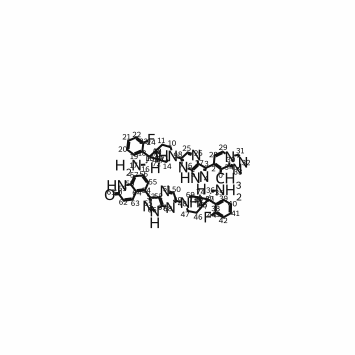 Cc1c(-c2n[nH]c3nc(N4CC[C@@H]5[C@H](C4)[C@@]5(CN)c4ccccc4F)cnc23)ccn2cnnc12.NC[C@]1(c2ccccc2F)[C@@H]2CCN(c3cnc4c(-c5cccc6[nH]c(=O)ccc56)n[nH]c4n3)C[C@@H]21